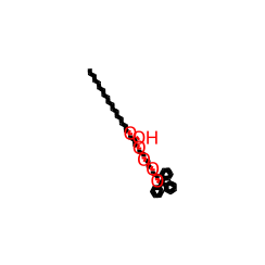 CCCCCCCCCCCCCCCCCCOCC(O)COCCOCCOCCOC(c1ccccc1)(c1ccccc1)c1ccccc1